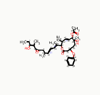 CCC(O)C(C)C1OC1CC(C)/C=C/C=C(\C)C1OC(=O)CC(Oc2ccccc2)CCC(C)(O)C(OC(C)=O)/C=C/C1C